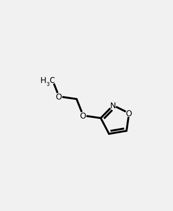 COCOc1ccon1